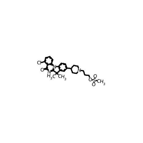 CC1(C)c2cc(C3CCN(CCCOS(C)(=O)=O)CC3)ccc2-n2c1nc(=O)c1c(Cl)cccc12